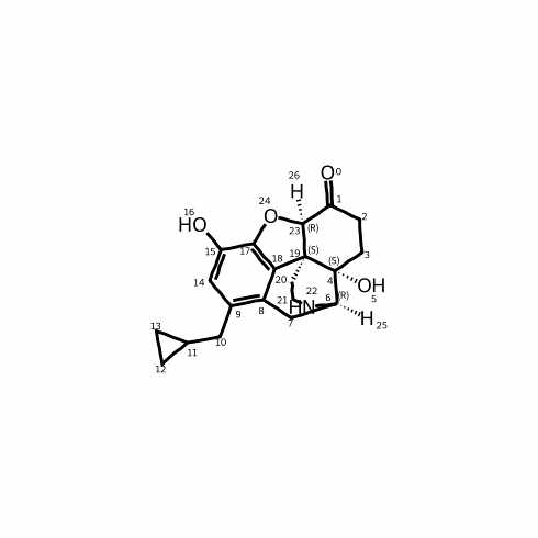 O=C1CC[C@@]2(O)[C@H]3Cc4c(CC5CC5)cc(O)c5c4[C@@]2(CCN3)[C@H]1O5